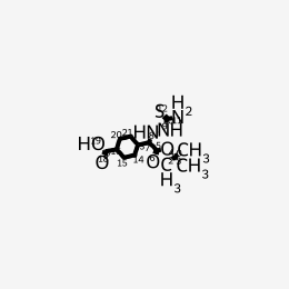 CC(C)(C)OC(=O)C(NNC(N)=S)C1CCC(C(=O)O)CC1